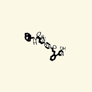 O=C(NCC12CC3CC(CC(C3)C1)C2)c1ccc(N2CCN(C(=O)CCc3ccccc3-c3cncc(O)c3)CC2)nn1